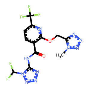 Cn1nnnc1COc1nc(C(F)(F)F)ccc1C(=O)Nc1nnnn1C(F)F